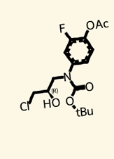 CC(=O)Oc1ccc(N(C[C@@H](O)CCl)C(=O)OC(C)(C)C)cc1F